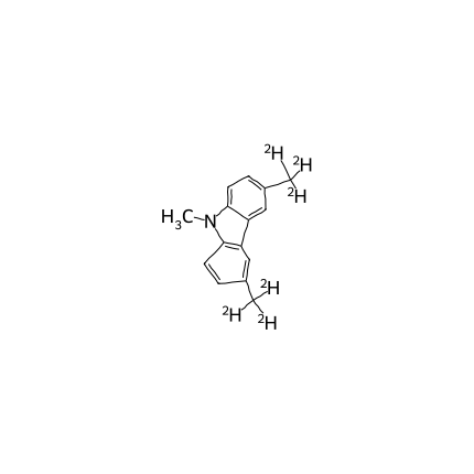 [2H]C([2H])([2H])c1ccc2c(c1)c1cc(C([2H])([2H])[2H])ccc1n2C